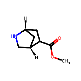 COC(=O)C1C[C@@H]2C[C@H]1CN2